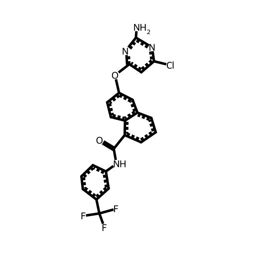 Nc1nc(Cl)cc(Oc2ccc3c(C(=O)Nc4cccc(C(F)(F)F)c4)cccc3c2)n1